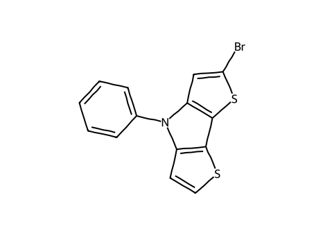 Brc1cc2c(s1)c1sccc1n2-c1ccccc1